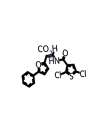 O=C(O)/C(=C/c1ccc(-c2ccccc2)o1)NC(=O)c1cc(Cl)sc1Cl